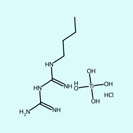 CCCCNC(=N)NC(=N)N.Cl.[OH][Ti]([OH])([OH])[OH]